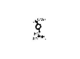 COC(=O)C1CCC(CNC(=N)N)CC1